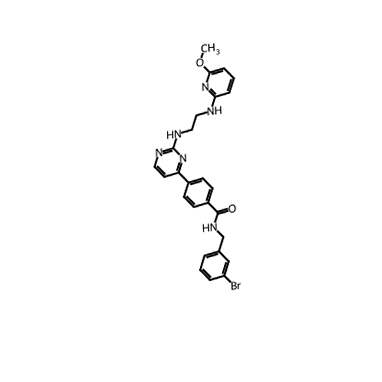 COc1cccc(NCCNc2nccc(-c3ccc(C(=O)NCc4cccc(Br)c4)cc3)n2)n1